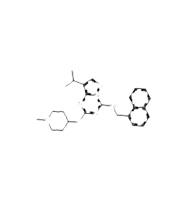 CC(C)c1cnn2c(N[C@@H](C)c3cccc4ccccc34)nc(OC3CCN(C)CC3)nc12